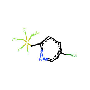 FS(F)(F)(F)(F)c1ccc(Cl)cn1